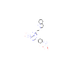 CC(C)[C@H](Nc1ccc(-c2cnc(N3CCOCC3)c3nc(C=Cc4ccc5ccccc5n4)cn23)cc1)C(=O)O